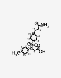 Cc1ccc(N(CC(=O)O)S(=O)(=O)c2ccc(CCC(N)=O)cc2)cc1